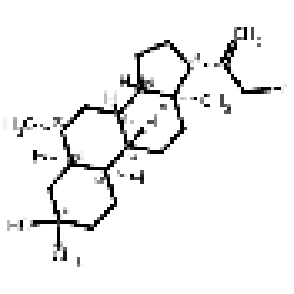 C=C(CBr)[C@H]1CC[C@H]2[C@@H]3C[C@@H](C)[C@@H]4C[C@@](C)(O)CC[C@@H]4[C@H]3CC[C@]12C